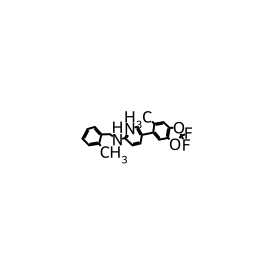 Cc1ccccc1CNc1ccc(-c2cc3c(cc2C)OC(F)(F)O3)cn1